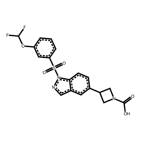 O=C(O)N1CC(c2ccc3c(cnn3S(=O)(=O)c3cccc(OC(F)F)c3)c2)C1